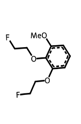 COc1cccc(OCCF)c1OCCF